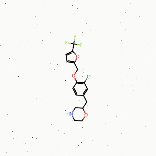 FC(F)(F)c1ccc(COc2ccc(CC3CNCCO3)cc2Cl)o1